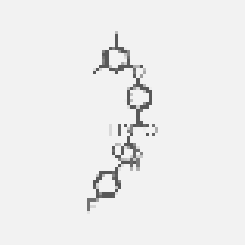 Cc1cc(C)cc(Oc2ccc(C(=O)Nc3nnc(-c4ccc(F)cc4)o3)cc2)c1